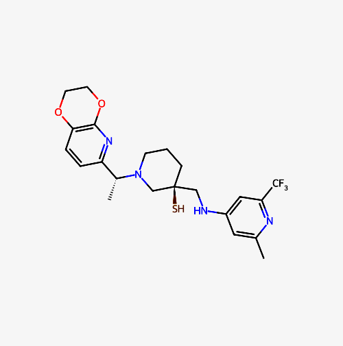 Cc1cc(NC[C@@]2(S)CCCN([C@H](C)c3ccc4c(n3)OCCO4)C2)cc(C(F)(F)F)n1